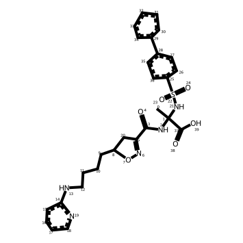 CC(NC(=O)C1=NOC(CCCCNc2ccccn2)C1)(NS(=O)(=O)c1ccc(-c2ccccc2)cc1)C(=O)O